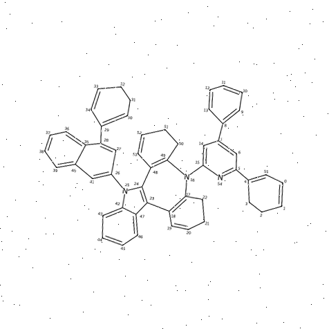 C1=CCCC(c2cc(-c3ccccc3)cc(N3C4=C(C=CCC4)c4c(n(-c5cc(C6=CCCC=C6)c6ccccc6c5)c5ccccc45)C4=C3CCC=C4)n2)=C1